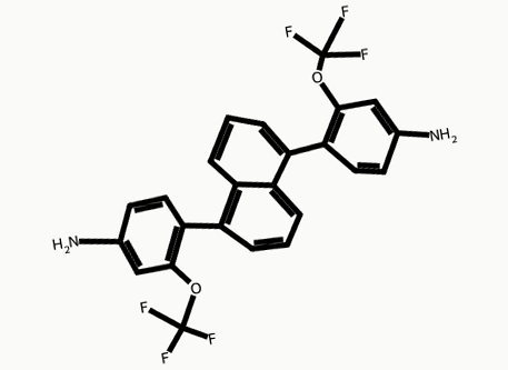 Nc1ccc(-c2cccc3c(-c4ccc(N)cc4OC(F)(F)F)cccc23)c(OC(F)(F)F)c1